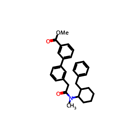 COC(=O)c1cccc(-c2cccc(CC(=O)N(C)C3CCCCC3Cc3ccccc3)c2)c1